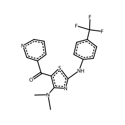 CN(C)c1nc(Nc2ccc(C(F)(F)F)cc2)sc1C(=O)c1cccnc1